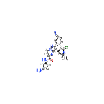 Cc1cc(-c2c(-c3cccc(C#N)c3)nn3ccc(C(=O)N[C@H]4CC[C@H](N)C4)nc23)cc(Cl)n1